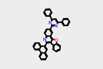 c1ccc(-c2cc(-c3ccccc3)nc(-c3ccc4nc(-c5cc6ccccc6c6ccccc56)c5c6ccccc6oc5c4c3)n2)cc1